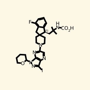 CC(C)(C[C@@H]1c2cccc(F)c2CC12CCN(c1cnc3c(I)nn(C4CCCCO4)c3n1)CC2)NC(=O)O